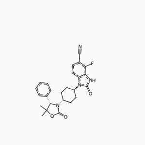 CC1(C)OC(=O)N([C@H]2CC[C@H](n3c(=O)[nH]c4c(F)c(C#N)ccc43)CC2)[C@H]1c1ccccc1